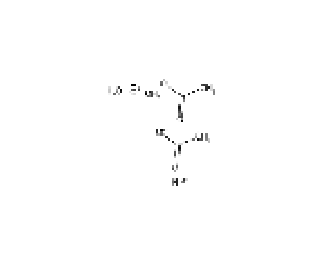 CC(=O)[O-].CC(=O)[O-].O.O.O.[Pb+2]